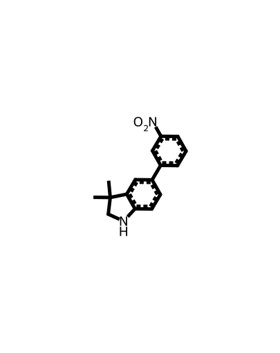 CC1(C)CNc2ccc(-c3cccc([N+](=O)[O-])c3)cc21